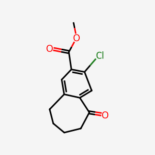 COC(=O)c1cc2c(cc1Cl)C(=O)CCCC2